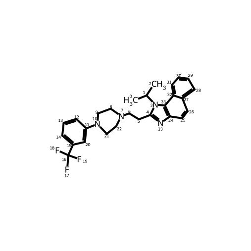 CC(C)n1c(CCN2CCN(c3cccc(C(F)(F)F)c3)CC2)nc2ccc3ccccc3c21